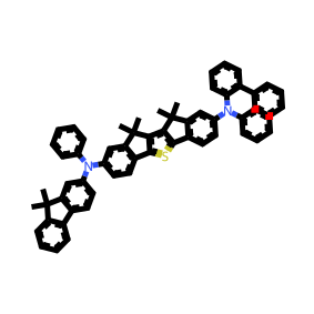 CC1(C)c2ccccc2-c2ccc(N(c3ccccc3)c3ccc4c(c3)C(C)(C)c3c-4sc4c3C(C)(C)c3cc(N(c5ccccc5)c5ccccc5-c5ccccc5)ccc3-4)cc21